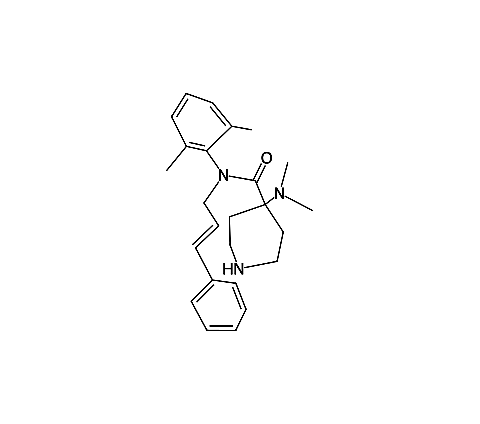 Cc1cccc(C)c1N(CC=Cc1ccccc1)C(=O)C1(N(C)C)CCNCC1